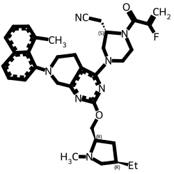 C=C(F)C(=O)N1CCN(c2nc(OC[C@H]3C[C@@H](CC)CN3C)nc3c2CCN(c2cccc4cccc(C)c24)C3)C[C@@H]1CC#N